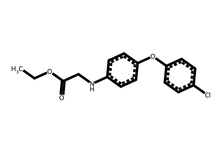 CCOC(=O)CNc1ccc(Oc2ccc(Cl)cc2)cc1